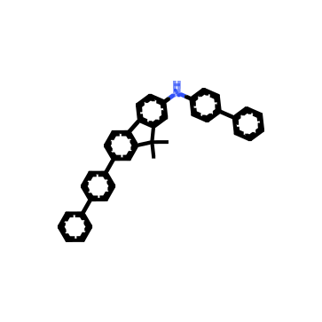 CC1(C)c2cc(Nc3ccc(-c4ccccc4)cc3)ccc2-c2ccc(-c3ccc(-c4ccccc4)cc3)cc21